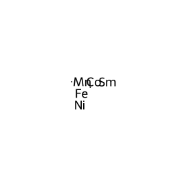 [Co].[Fe].[Mn].[Ni].[Sm]